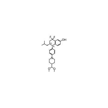 COC(OC)C1CCN(c2ccc([C@@H]3c4ccc(O)cc4C(F)(F)C[C@@H]3CC(C)C)cc2)CC1